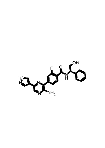 Nc1ncc(-c2cn[nH]c2)nc1-c1ccc(C(=O)NC(CO)c2ccccc2)c(F)c1